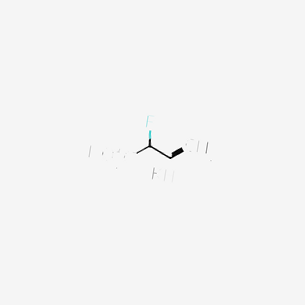 C=CC(F)C(=O)O.[KH]